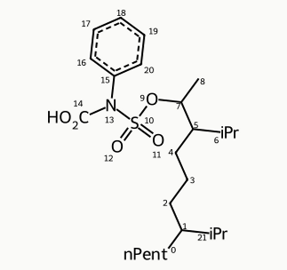 CCCCCC(CCCC(C(C)C)C(C)OS(=O)(=O)N(C(=O)O)c1ccccc1)C(C)C